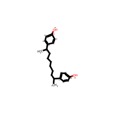 CC(CCCCCCC(C)c1ccc(O)cc1)c1ccc(O)cc1